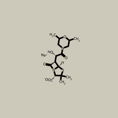 CC1CN(C(=O)[C@@H](O)[C@@H]2C(=O)N3[C@@H]2SC(C)(C)[C@@H]3C(=O)[O-])CC(C)O1.[Na+]